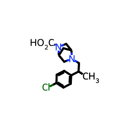 CC(CN1CC2CC1CN2C(=O)O)c1ccc(Cl)cc1